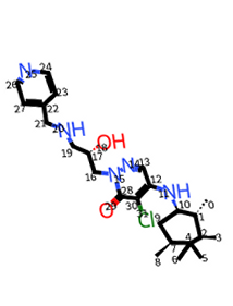 C[C@@H]1[C@@H](C)C(C)(C)[C@@H](C)C[C@H]1Nc1cnn(C[C@@H](O)CNCc2ccncc2)c(=O)c1Cl